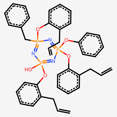 C=CCc1ccccc1OP1(O)=NP(Oc2ccccc2)(Oc2ccccc2CC=C)=NP(Cc2ccccc2)(Oc2ccccc2CC=C)=N1